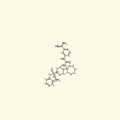 N=C(N)c1cccc(NC(=O)NC2(C3CCN(S(=O)(=O)Cc4ccccc4N)CC3)CCCCCC2)c1